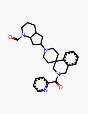 O=CN1CCCC2CC(N3CCC4(CC3)CN(C(=O)c3ccccn3)Cc3ccccc34)CC21